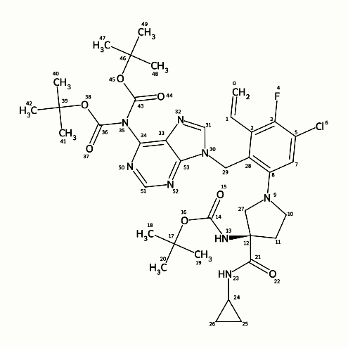 C=Cc1c(F)c(Cl)cc(N2CC[C@](NC(=O)OC(C)(C)C)(C(=O)NC3CC3)C2)c1Cn1cnc2c(N(C(=O)OC(C)(C)C)C(=O)OC(C)(C)C)ncnc21